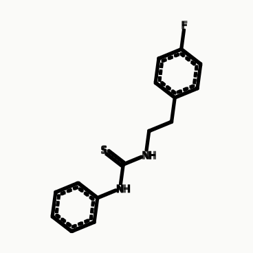 Fc1ccc(CCNC(=S)Nc2ccccc2)cc1